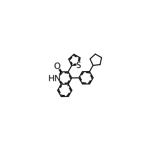 O=c1[nH]c2ccccc2c(-c2cccc(C3CCCC3)c2)c1-c1cccs1